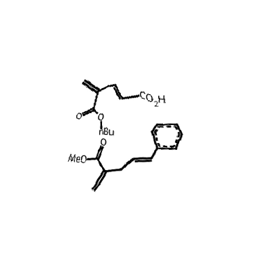 C=C(C=CC(=O)O)C(=O)OCCCC.C=C(CC=Cc1ccccc1)C(=O)OC